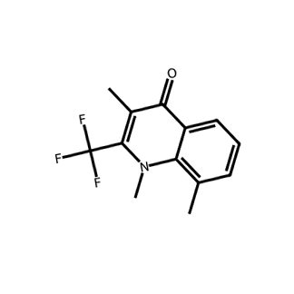 Cc1c(C(F)(F)F)n(C)c2c(C)cccc2c1=O